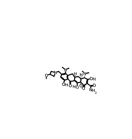 COC1CN(Cc2cc(O)c3c(c2N(C)C)C[C@H]2C[C@H]4[C@H](N(C)C)C(O)=C(C(N)=O)C(=O)[C@@]4(O)C(O)=C2C3=O)C1